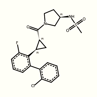 CS(=O)(=O)N[C@@H]1CCN(C(=O)[C@@H]2C[C@H]2c2c(F)cccc2-c2ccccc2Cl)C1